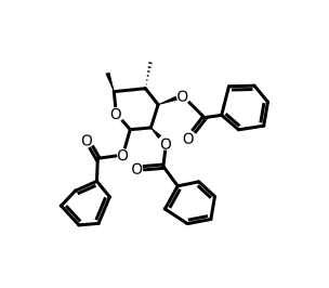 C[C@@H]1[C@@H](OC(=O)c2ccccc2)[C@@H](OC(=O)c2ccccc2)C(OC(=O)c2ccccc2)O[C@H]1C